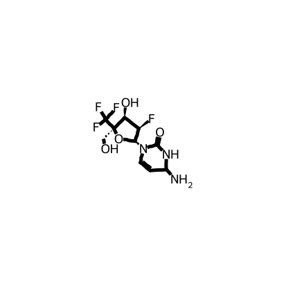 NC1C=CN([C@@H]2O[C@@](CO)(C(F)(F)F)[C@@H](O)[C@H]2F)C(=O)N1